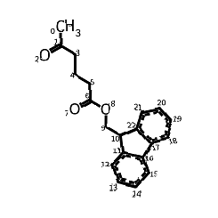 CC(=O)CCCC(=O)OCC1c2ccccc2-c2ccccc21